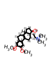 COc1cc2c(cc1OC)C1=C(CC2)[C@@H]2CCC(=O)[C@@]2(CCN(C)C)CC1